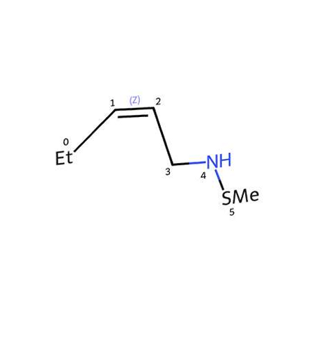 CC/C=C\CNSC